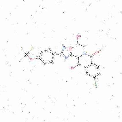 O=C(c1ccc(Cl)cc1)N(CCO)C(CO)c1nc(-c2ccc(OC(F)(F)F)cc2)no1